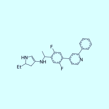 CCC1CC(NC(C)c2cc(F)c(-c3ccnc(-c4ccccc4)c3)cc2F)=CN1